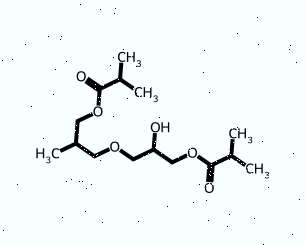 CC(COCC(O)COC(=O)C(C)C)COC(=O)C(C)C